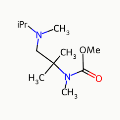 COC(=O)N(C)C(C)(C)CN(C)C(C)C